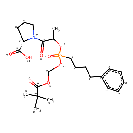 CC(OP(=O)(CCCCc1ccccc1)OCOC(=O)C(C)(C)C)C(=O)N1CCC[C@H]1C(=O)O